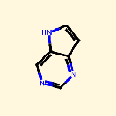 [c]1ncc2[nH]ccc2n1